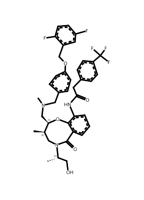 C[C@@H]1CN([C@@H](C)CO)C(=O)c2cccc(NC(=O)Cc3ccc(C(F)(F)F)cc3)c2O[C@@H]1CN(C)Cc1ccc(OCc2cc(F)ccc2F)cc1